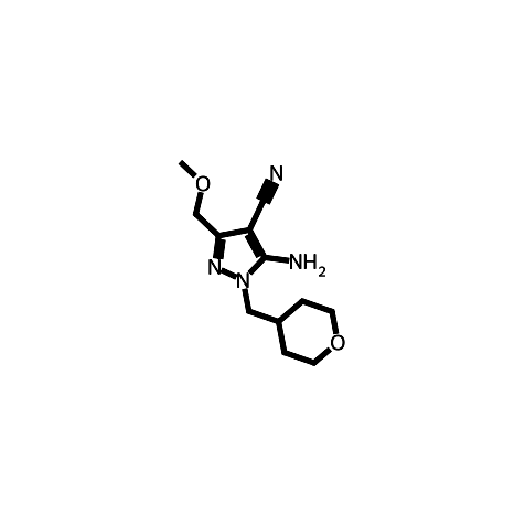 COCc1nn(CC2CCOCC2)c(N)c1C#N